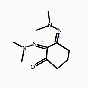 CN(C)/N=C1/CCCC(=O)/C1=N\N(C)C